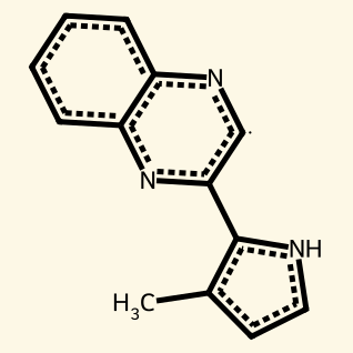 Cc1cc[nH]c1-c1[c]nc2ccccc2n1